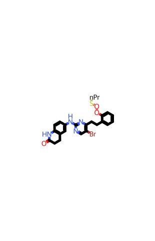 CCCSOOc1ccccc1CCc1nc(Nc2ccc3c(c2)CCC(=O)N3)ncc1Br